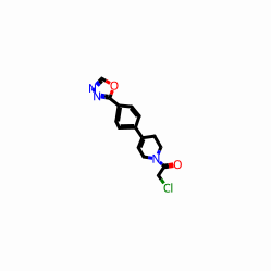 O=C(CCl)N1CC=C(c2ccc(-c3nnco3)cc2)CC1